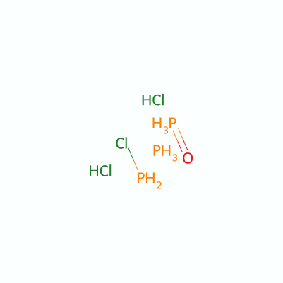 Cl.Cl.O=[PH3].P.PCl